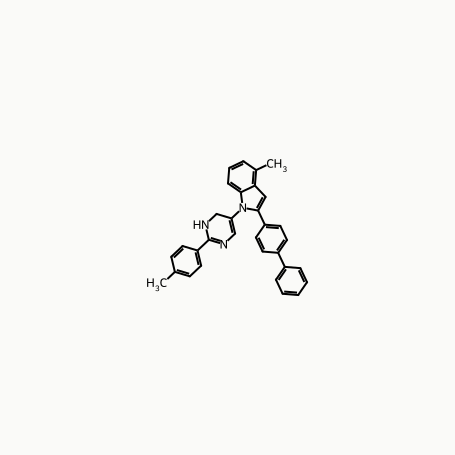 Cc1ccc(C2=NC=C(n3c(-c4ccc(-c5ccccc5)cc4)cc4c(C)cccc43)CN2)cc1